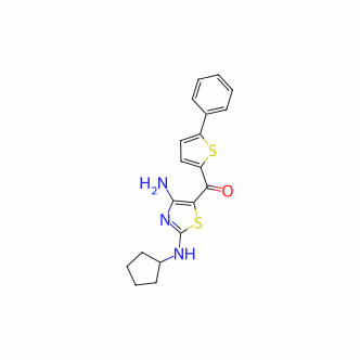 Nc1nc(NC2CCCC2)sc1C(=O)c1ccc(-c2ccccc2)s1